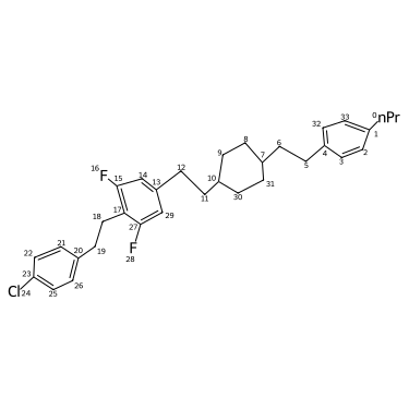 CCCc1ccc(CCC2CCC(CCc3cc(F)c(CCc4ccc(Cl)cc4)c(F)c3)CC2)cc1